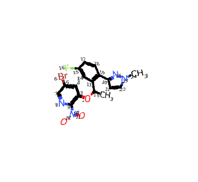 CC(Oc1cc(Br)cnc1[N+](=O)[O-])c1cc(F)ccc1-c1ccn(C)n1